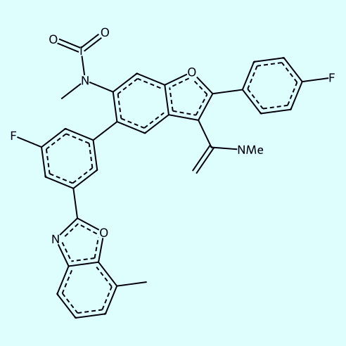 C=C(NC)c1c(-c2ccc(F)cc2)oc2cc(N(C)I(=O)=O)c(-c3cc(F)cc(-c4nc5cccc(C)c5o4)c3)cc12